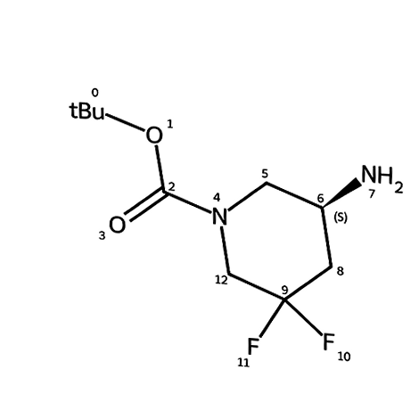 CC(C)(C)OC(=O)N1C[C@@H](N)CC(F)(F)C1